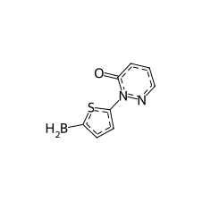 Bc1ccc(-n2ncccc2=O)s1